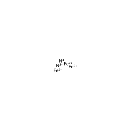 [Fe+2].[Fe+2].[Fe+2].[N-3].[N-3]